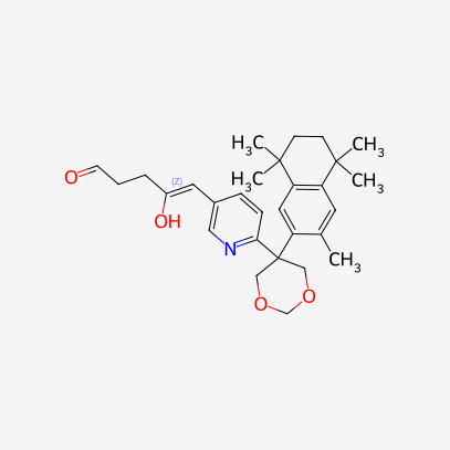 Cc1cc2c(cc1C1(c3ccc(/C=C(\O)CCC=O)cn3)COCOC1)C(C)(C)CCC2(C)C